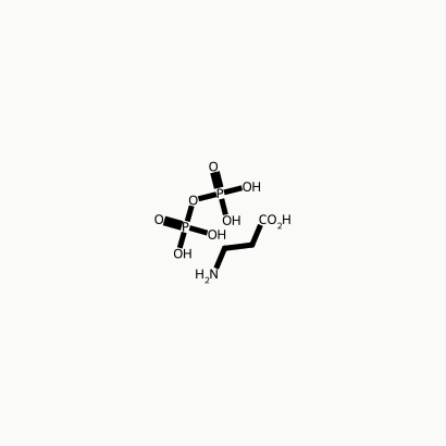 NCCC(=O)O.O=P(O)(O)OP(=O)(O)O